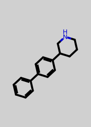 c1ccc(-c2ccc(C3CCCNC3)cc2)cc1